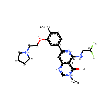 COc1ccc(-c2cc3ncn(C)c(=O)c3c(NCC(F)F)n2)cc1OCCN1CCCC1